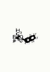 CC(OC(=O)C1CC2CC1C1C3CCC(C3)C21)C(F)(F)F